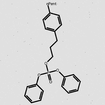 CCCCCc1ccc(CCCOP(=O)(Oc2ccccc2)Oc2ccccc2)cc1